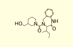 CCC(C)C1C(=O)Nc2ccccc2CN1C(=O)N1CCCC(CO)C1